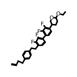 C=CCCc1ccc(CCc2ccc(-c3ccc(C4CCC(OCC)OC4)c(F)c3F)c(F)c2F)cc1